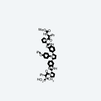 COC(=O)N[C@H](C(=O)N1CCC[C@H]1c1nc2cc([C@H]3CC[C@H](c4ccc5nc([C@@H]6CCCN6C(=O)[C@H](C(C)C)N(C)C(=O)O)[nH]c5c4)N3c3ccc(OC(C)C)cc3)ccc2[nH]1)C(C)C